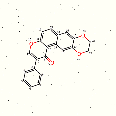 O=c1c(-c2ccccc2)coc2ccc3cc4c(cc3c12)OCCO4